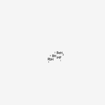 B.F.[BeH2].[RbH]